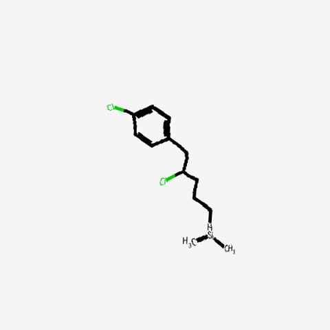 C[SiH](C)CCCC(Cl)Cc1ccc(Cl)cc1